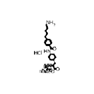 CCCCS(=O)(=O)NC(C[C@H]1CC[C@H](NC(=O)c2ccc(CCCCCN)cc2)CC1)C(=O)OC.Cl